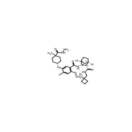 COc1cc(F)c(O[C@H]2CC[C@@](C)(C(=O)NN)CC2)cc1C(=O)N[C@@H]1[C@H]2CC[C@H](C2)[C@@H]1C(=O)NCC1(C)CCC1